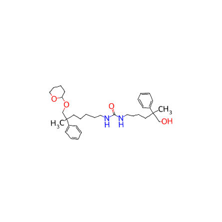 CC(CO)(CCCCNC(=O)NCCCCCC(C)(COC1CCCCO1)c1ccccc1)c1ccccc1